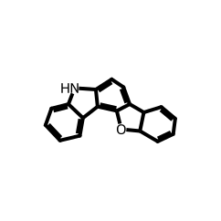 C1=CC2Oc3c(ccc4[nH]c5ccccc5c34)C2C=C1